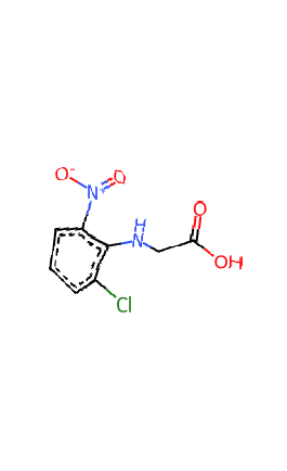 O=C(O)CNc1c(Cl)cccc1[N+](=O)[O-]